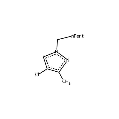 CCCCCCn1cc(Cl)c(C)n1